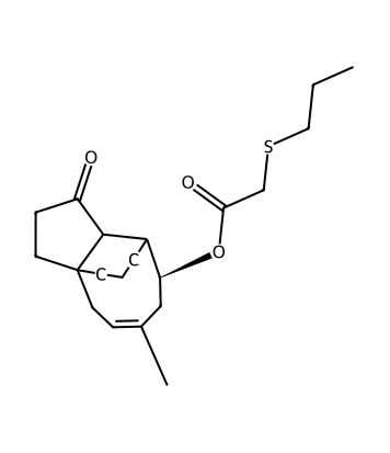 CCCSCC(=O)O[C@H]1C/C(C)=C\CC23CCCC1C2C(=O)CC3